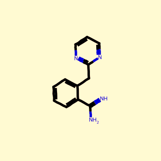 N=C(N)c1ccccc1Cc1ncccn1